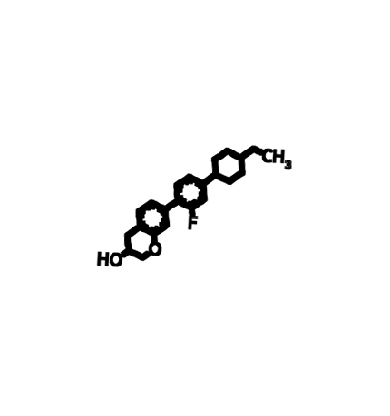 CCC1CCC(c2ccc(-c3ccc4c(c3)OCC(O)C4)c(F)c2)CC1